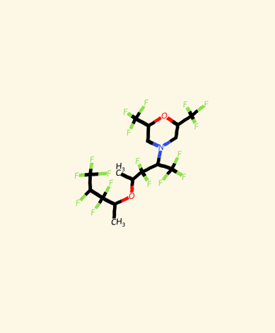 CC(OC(C)C(F)(F)C(N1CC(C(F)(F)F)OC(C(F)(F)F)C1)C(F)(F)F)C(F)(F)C(F)C(F)(F)F